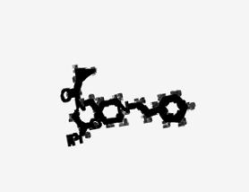 CC(C)C1CN(C(=O)C2CC2)CC2(CCN(CCc3ccccc3)CC2)O1